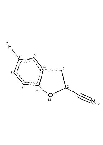 N#CC1Cc2cc(F)ccc2O1